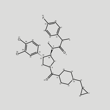 CC(C(=O)N(C)[C@H]1CN(C(=O)C2CCN(CC3CC3)CC2)C[C@@H]1c1ccc(Cl)c(Cl)c1)c1ccc(F)cc1